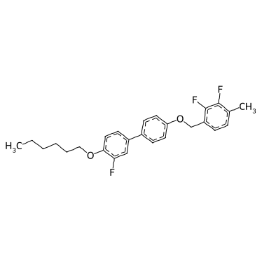 CCCCCCOc1ccc(-c2ccc(OCc3ccc(C)c(F)c3F)cc2)cc1F